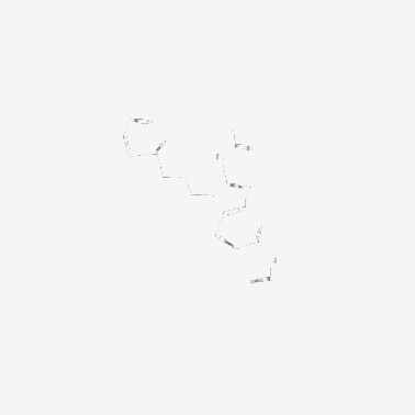 O=C(O)Nc1ccc2c(c1)nc(NC(=O)O)n2CCCc1ccccc1